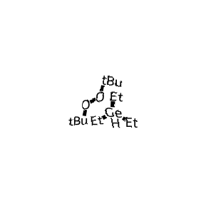 CC(C)(C)OOC(C)(C)C.C[CH2][GeH]([CH2]C)[CH2]C